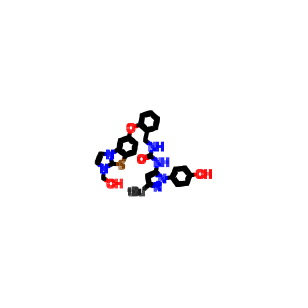 CC(C)(C)c1cc(NC(=O)NCc2ccccc2Oc2ccc3c(c2)N2C=CN(CO)C2S3)n(-c2ccc(O)cc2)n1